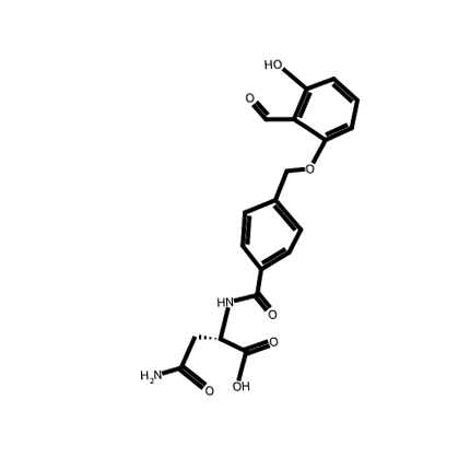 NC(=O)C[C@H](NC(=O)c1ccc(COc2cccc(O)c2C=O)cc1)C(=O)O